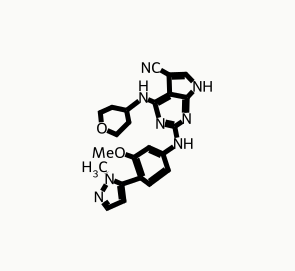 COc1cc(Nc2nc(NC3CCOCC3)c3c(C#N)c[nH]c3n2)ccc1-c1ccnn1C